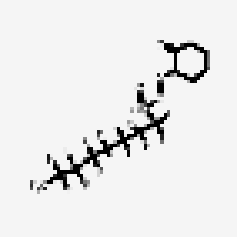 O=C1CCCCC1SOS(=O)(=O)C(F)(F)C(F)(F)C(F)(F)C(F)(F)C(F)(F)C(F)(F)C(F)(F)C(F)(F)F